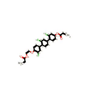 C=CC(=O)O/C=C\Oc1ccc(-c2ccc(-c3ccc(OC(=O)C=C)cc3F)cc2F)cc1F